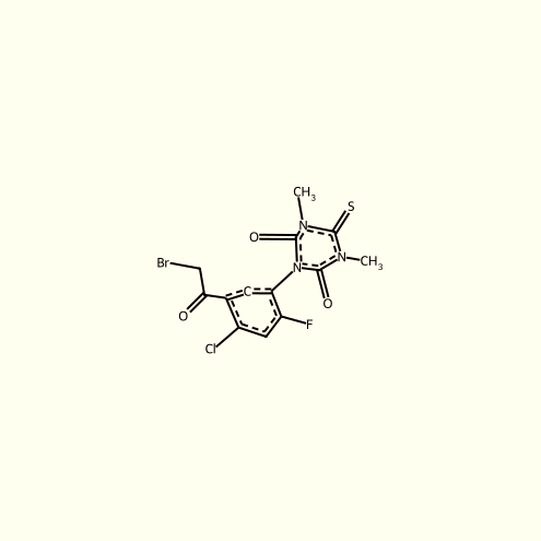 Cn1c(=S)n(C)c(=O)n(-c2cc(C(=O)CBr)c(Cl)cc2F)c1=O